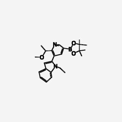 CCn1c(-c2cc(B3OC(C)(C)C(C)(C)O3)cnc2C(C)OC)cc2ccccc21